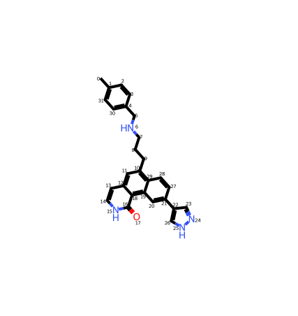 Cc1ccc(CNCCCc2cc3cc[nH]c(=O)c3c3cc(-c4cn[nH]c4)ccc23)cc1